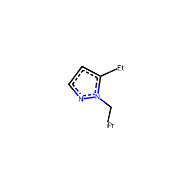 CCc1ccnn1CC(C)C